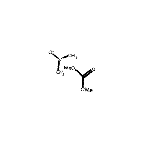 COC(=O)OC.C[S+](C)[O-]